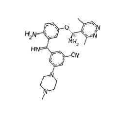 Cc1cnnc(C)c1[C@@H](N)Oc1ccc(N)c(C(=N)c2cc(C#N)cc(N3CCN(C)CC3)c2)c1